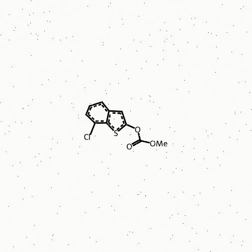 COC(=O)Oc1cc2cccc(Cl)c2s1